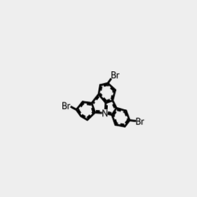 Brc1ccc2c(c1)c1cc(Br)cc3c4cc(Br)ccc4n2c13